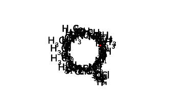 CCC(C)[C@@H]1NC(=O)[C@H](CC(C)C)N(C)C(=O)C[C@@H](C)NC(=O)[C@H](C(C)C)N(C)C(=O)C2(CCCC2)NC(=O)[C@@H]2CCCN2C(=O)[C@H](CCc2ccc(C(F)(F)F)c(Cl)c2)NC(=O)CN(C)C(=O)[C@H](CC2CCCC2)N(C)C(=O)CN(C)C(=O)CN(C)C1=O